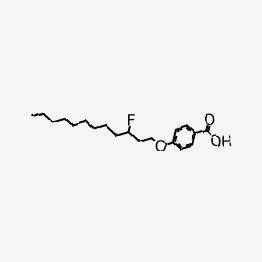 CCCCCCCCCC(F)CCOc1ccc(C(=O)O)cc1